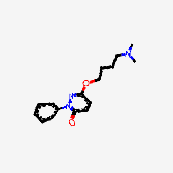 CN(C)CCCCOc1ccc(=O)n(-c2ccccc2)n1